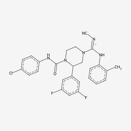 Cc1ccccc1N/C(=N/C#N)N1CCN(C(=O)Nc2ccc(Cl)cc2)C(c2cc(F)cc(F)c2)C1